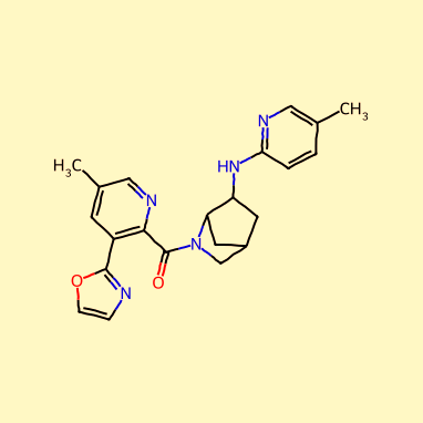 Cc1ccc(NC2CC3CC2N(C(=O)c2ncc(C)cc2-c2ncco2)C3)nc1